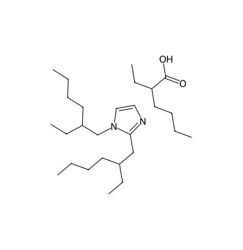 CCCCC(CC)C(=O)O.CCCCC(CC)Cc1nccn1CC(CC)CCCC